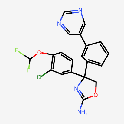 NC1=NC(c2cccc(-c3cncnc3)c2)(c2ccc(OC(F)F)c(Cl)c2)CO1